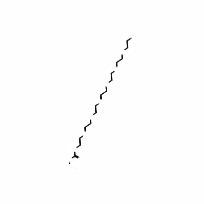 CC(C)(C)OC(=O)NCCOCCOCCOCCOCCOCCOCCBr